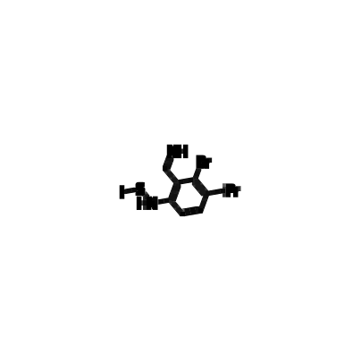 CC(C)c1ccc(NSI)c(C=N)c1Br